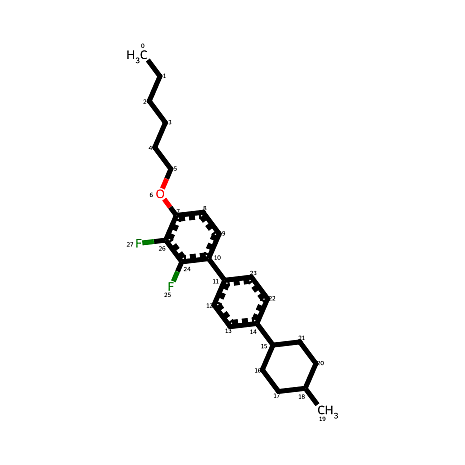 CCCCCCOc1ccc(-c2ccc(C3CCC(C)CC3)cc2)c(F)c1F